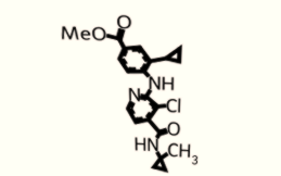 COC(=O)c1ccc(Nc2nccc(C(=O)NC3(C)CC3)c2Cl)c(C2CC2)c1